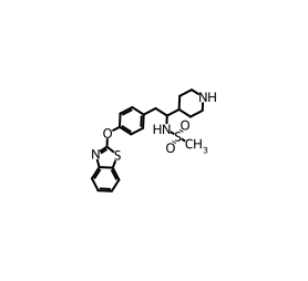 CS(=O)(=O)NC(Cc1ccc(Oc2nc3ccccc3s2)cc1)C1CCNCC1